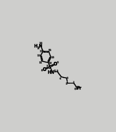 CC(C)CCCCCNS(=O)(=O)c1ccc(N)cc1